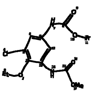 CCOc1c(Cl)cc(NC(=O)OC(C)C)cc1NC(=O)OC